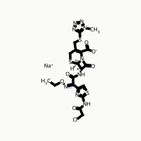 CCO/N=C(\C(=O)N[C@@H]1C(=O)N2C(C(=O)[O-])=C(CSc3nnnn3C)CS[C@H]12)c1csc(NC(=O)CCl)n1.[Na+]